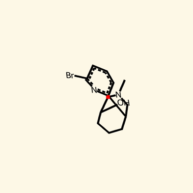 CN1CC2CCCC(C1)C2(O)c1cccc(Br)n1